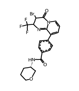 O=C(N[C@H]1CCCOC1)c1ccc(C2=CC=CN3C(=O)C(Br)C(C(F)(F)F)N=C23)cc1